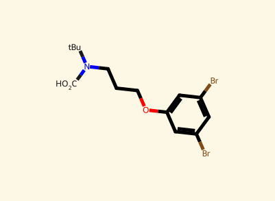 CC(C)(C)N(CCCOc1cc(Br)cc(Br)c1)C(=O)O